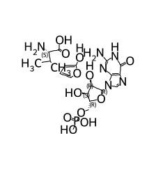 CC(C)[C@H](N)C(=O)O.Nc1nc2c(ncn2[C@@H]2O[C@H](COP(=O)(O)O)[C@@H](O)[C@H]2O)c(=O)[nH]1.Oc1ccco1